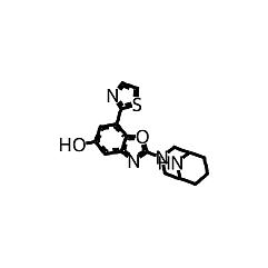 Oc1cc(-c2nccs2)c2oc(N3CC4CCCC(C3)N4)nc2c1